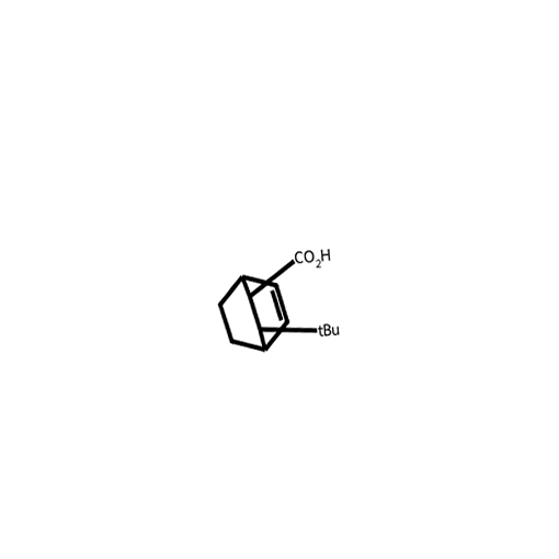 CC(C)(C)C1C2C=CC(CC2)C1C(=O)O